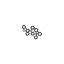 c1ccc(N(c2cccc(C3(c4ccccc4)c4ccccc4-c4ccccc43)c2)c2cc3c4ccccc4oc3c3ccccc23)cc1